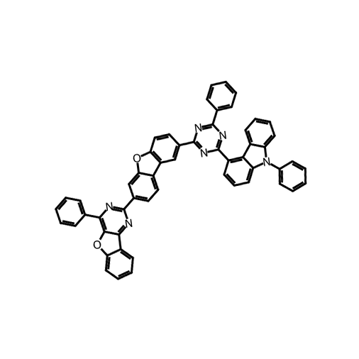 c1ccc(-c2nc(-c3ccc4oc5cc(-c6nc(-c7ccccc7)c7oc8ccccc8c7n6)ccc5c4c3)nc(-c3cccc4c3c3ccccc3n4-c3ccccc3)n2)cc1